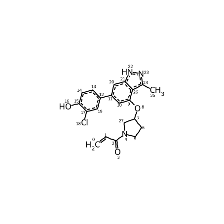 C=CC(=O)N1CCC(Oc2cc(-c3ccc(O)c(Cl)c3)cc3[nH]nc(C)c23)C1